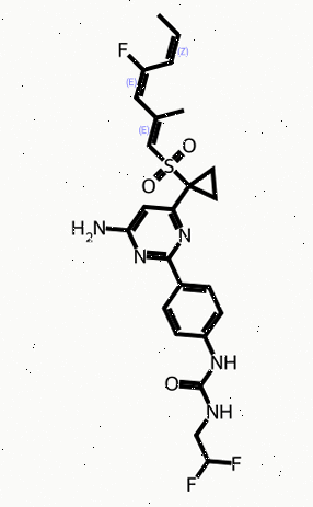 C\C=C/C(F)=C\C(C)=C\S(=O)(=O)C1(c2cc(N)nc(-c3ccc(NC(=O)NCC(F)F)cc3)n2)CC1